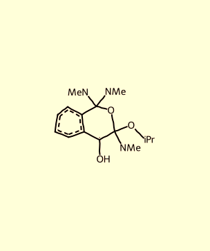 CNC1(OC(C)C)OC(NC)(NC)c2ccccc2[C]1O